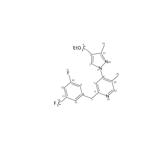 CCOC(=O)c1cn(-c2cc(Cc3cc(F)cc(C(F)(F)F)c3)ncc2C)nc1C